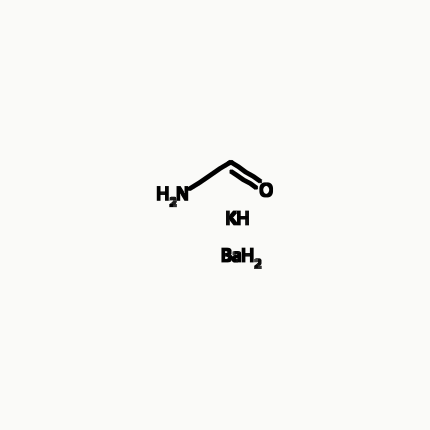 NC=O.[BaH2].[KH]